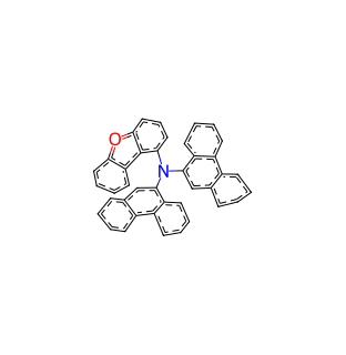 c1ccc2c(c1)cc(N(c1cc3ccccc3c3ccccc13)c1cccc3oc4ccccc4c13)c1ccccc12